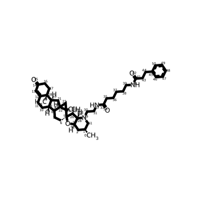 C[C@H]1C[C@H]2O[C@]3(CC[C@H]4[C@@H]5CCC6=CC(=O)CC[C@]6(C)[C@H]5CC45CC53C)[C@H](C)[C@@H]2N(CCNC(=O)CCCCCNC(=O)CCc2ccccc2)C1